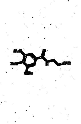 COc1cc(C(=O)NCCC=O)cc(OC)c1OC